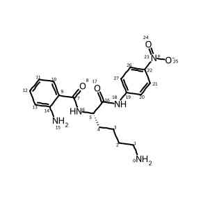 NCCCC[C@H](NC(=O)c1ccccc1N)C(=O)Nc1ccc([N+](=O)[O-])cc1